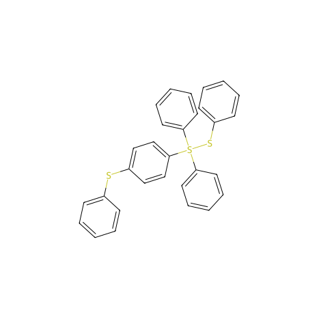 c1ccc(Sc2ccc(S(Sc3ccccc3)(c3ccccc3)c3ccccc3)cc2)cc1